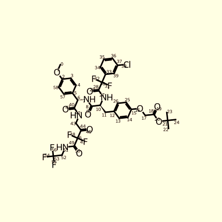 COc1ccc([C@H](NC(=O)[C@H](Cc2ccc(OCC(=O)OC(C)(C)C)cc2)NC(=O)C(F)(F)c2cccc(Cl)c2)C(=O)NCC(=O)C(F)(F)C(=O)NCC(F)(F)F)cc1